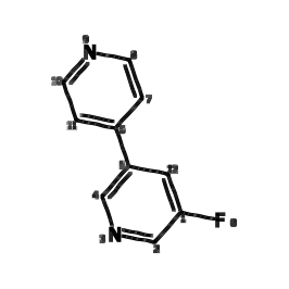 Fc1cncc(-c2ccncc2)c1